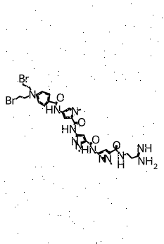 Cn1cc(NC(=O)c2ccc(N(CCBr)CCBr)cc2)cc1C(=O)Nc1cc(C(=O)Nc2cc(C(=O)NCCC(=N)N)n(C)n2)n(C)n1